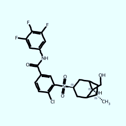 C[C@H]1CC2C[C@H](S(=O)(=O)c3cc(C(=O)Nc4cc(F)c(F)c(F)c4)ccc3Cl)CC1[C@]2(O)CO